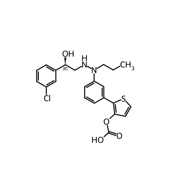 CCCN(NC[C@H](O)c1cccc(Cl)c1)c1cccc(-c2sccc2OC(=O)O)c1